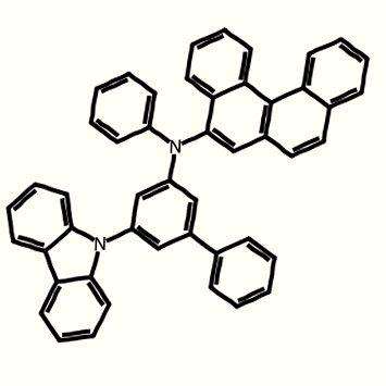 c1ccc(-c2cc(N(c3ccccc3)c3cc4ccc5ccccc5c4c4ccccc34)cc(-n3c4ccccc4c4ccccc43)c2)cc1